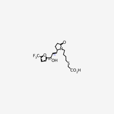 O=C(O)CSCCCCN1C(=O)CCC1/C=C/[C@@H](O)c1ccc(C(F)(F)F)o1